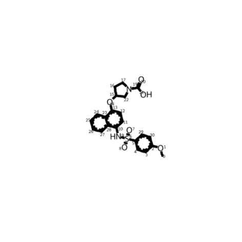 COc1ccc(S(=O)(=O)Nc2ccc(OC3CCN(C(=O)O)C3)c3ccccc23)cc1